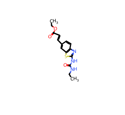 CCNC(=O)Nc1nc2ccc(C=CC(=O)OCC)cc2s1